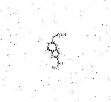 CC(C)(C)Nc1nc2cc(CC(=O)O)ccc2o1